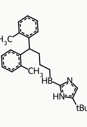 Cc1ccccc1C(CCCBc1ncc(C(C)(C)C)[nH]1)c1ccccc1C